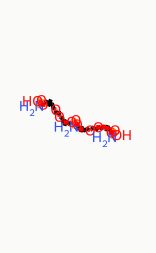 CC(C)(CCOCCOCCC(C)(C)COP(N)(=O)OCC(C)(C)CCOCCOCCC(C)(C)COP(N)(=O)O)COP(N)(=O)O